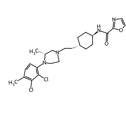 Cc1ccc(N2CCN(CC[C@H]3CC[C@H](NC(=O)c4ncco4)CC3)C[C@H]2C)c(Cl)c1Cl